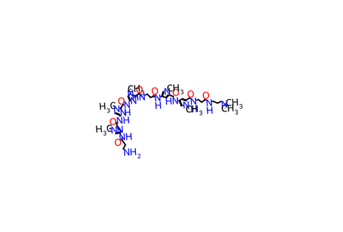 CN(C)CCCNC(=O)CCNC(=O)c1cc(NC(=O)c2cc(NC(=O)CCNC(=O)c3nc(NC(=O)c4nc(NC(=O)c5nc(NC(=O)CCN)cn5C)cn4C)cn3C)cn2C)cn1C